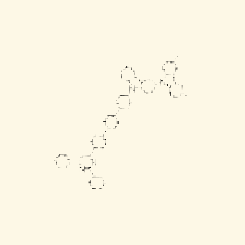 Cc1ccc2c(c1)c1cc(C)ccc1n2-c1ccc2c(c1)c1ccccc1n2-c1ccc(-c2ccc(-c3ccc(-c4cc(-c5ccccc5)nc(-c5ccccc5)n4)cc3)cc2C)cc1